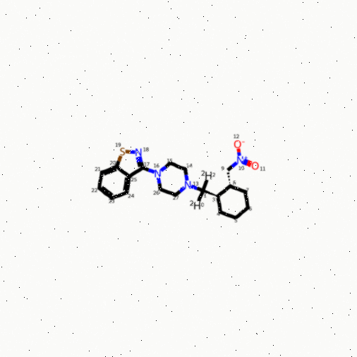 [2H]C([2H])([C@@H]1CCCC[C@H]1C[N+](=O)[O-])N1CCN(c2nsc3ccccc23)CC1